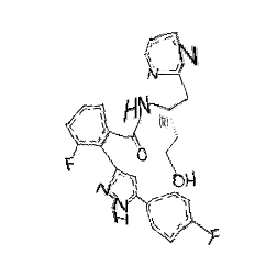 O=C(N[C@@H](CCO)Cc1ncccn1)c1cccc(F)c1-c1cc(-c2ccc(F)cc2)[nH]n1